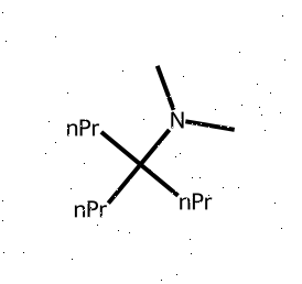 CCCC(CCC)(CCC)N(C)C